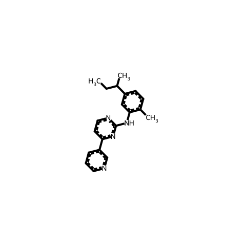 CCC(C)c1ccc(C)c(Nc2nccc(-c3cccnc3)n2)c1